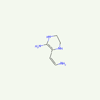 N/C=C\C1=C(N)NCCN1